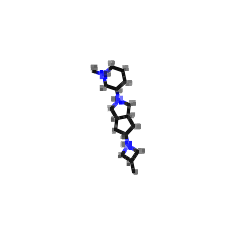 CC1CN(C2CC3CN(C4CCCN(C)C4)CC3C2)C1